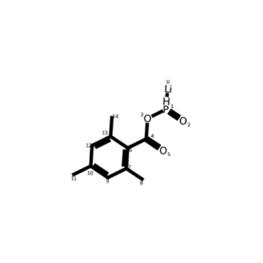 [Li][PH](=O)OC(=O)c1c(C)cc(C)cc1C